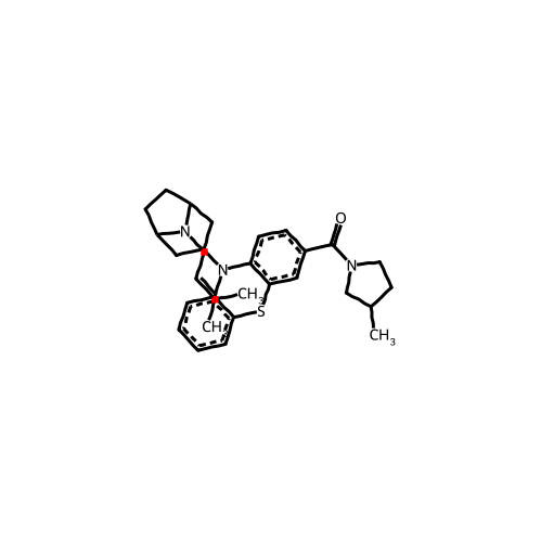 CC(C)=CCN1C2CCC1CC(N1c3ccccc3Sc3cc(C(=O)N4CCC(C)C4)ccc31)C2